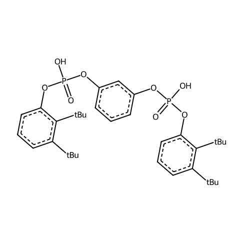 CC(C)(C)c1cccc(OP(=O)(O)Oc2cccc(OP(=O)(O)Oc3cccc(C(C)(C)C)c3C(C)(C)C)c2)c1C(C)(C)C